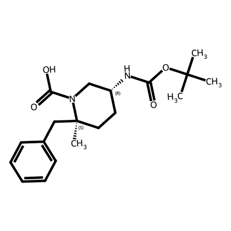 CC(C)(C)OC(=O)N[C@@H]1CC[C@@](C)(Cc2ccccc2)N(C(=O)O)C1